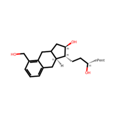 CCCCC[C@H](O)CC[C@H]1[C@H](O)CC2Cc3c(CO)cccc3C[C@@H]21